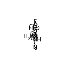 NC(=O)c1c(C(=O)NCCCCCN2CCCC2)ncn1-c1ccc(NC(=O)c2ccc(F)cc2Cl)cc1